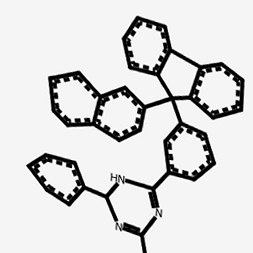 ClC1=NC(c2ccccc2)NC(c2cccc(C3(c4ccc5ccccc5c4)c4ccccc4-c4ccccc43)c2)=N1